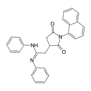 O=C1CC(C/C(=N\c2ccccc2)Nc2ccccc2)C(=O)N1c1cccc2ccccc12